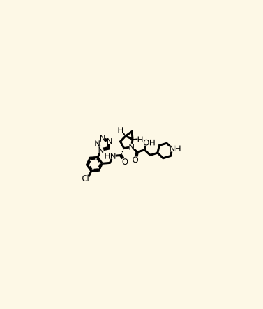 O=C(NCc1cc(Cl)ccc1-n1cnnn1)[C@@H]1C[C@@H]2C[C@@H]2N1C(=O)C(O)CC1CCNCC1